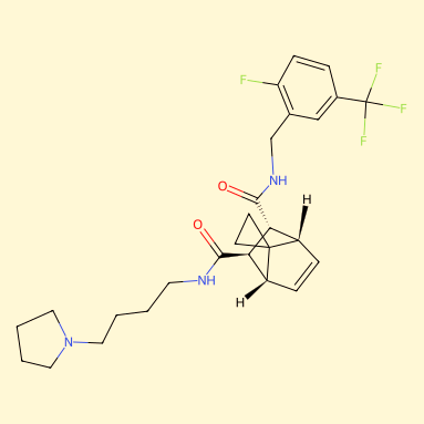 O=C(NCCCCN1CCCC1)[C@H]1[C@H](C(=O)NCc2cc(C(F)(F)F)ccc2F)[C@@H]2C=C[C@H]1C21CC1